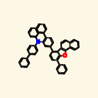 c1ccc(-c2ccc(N(c3ccccc3)c3cc(-c4ccc(-c5ccccc5)c5oc6c7ccccc7ccc6c45)ccc3-c3ccccc3)cc2)cc1